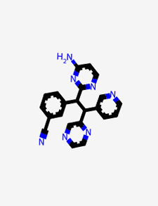 N#Cc1cccc(C(c2nccc(N)n2)C(c2cccnc2)c2cnccn2)c1